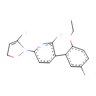 CC1=CCON1c1ccc(-c2cc(Cl)ccc2OCC(F)(F)F)c(N)n1